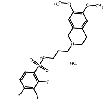 COc1cc2c(cc1OC)CN(CCCNS(=O)(=O)c1ccc(F)c(F)c1F)CC2.Cl